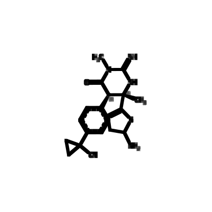 CN1C(=N)N[C@](C)(C2=CCC(N)S2)[C@@H](c2ccc(C3(C#N)CC3)cc2)C1=O